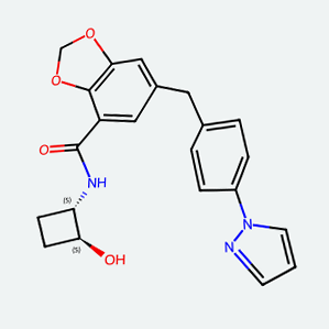 O=C(N[C@H]1CC[C@@H]1O)c1cc(Cc2ccc(-n3cccn3)cc2)cc2c1OCO2